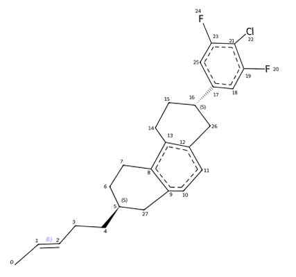 C/C=C/CC[C@H]1CCc2c(ccc3c2CC[C@H](c2cc(F)c(Cl)c(F)c2)C3)C1